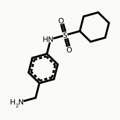 NCc1ccc(NS(=O)(=O)C2CCCCC2)cc1